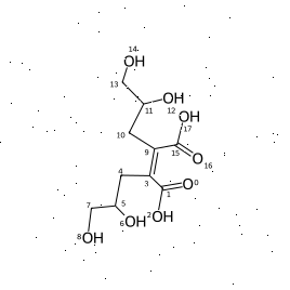 O=C(O)/C(CC(O)CO)=C(/CC(O)CO)C(=O)O